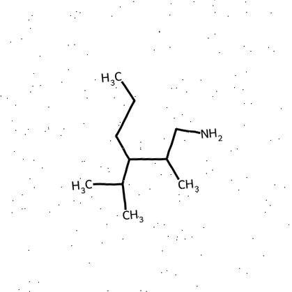 CCCC(C(C)C)C(C)CN